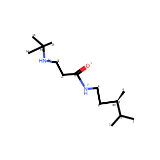 CC(C)[C@H](C)CCNC(=O)CCNC(C)(C)C